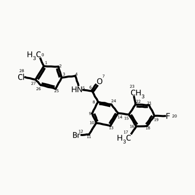 Cc1cc(CNC(=O)c2cc(CBr)cc(-c3c(C)cc(F)cc3C)c2)ccc1Cl